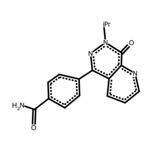 CC(C)n1nc(-c2ccc(C(N)=O)cc2)c2cccnc2c1=O